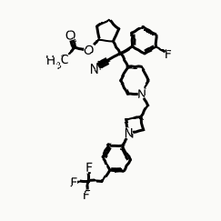 CC(=O)OC1CCCC1C(C#N)(c1cccc(F)c1)C1CCN(CC2CN(c3ccc(CC(F)(F)F)cc3)C2)CC1